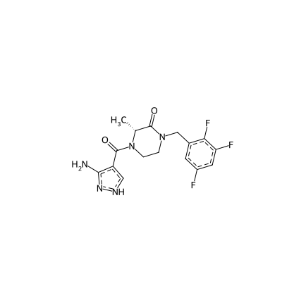 C[C@@H]1C(=O)N(Cc2cc(F)cc(F)c2F)CCN1C(=O)c1c[nH]nc1N